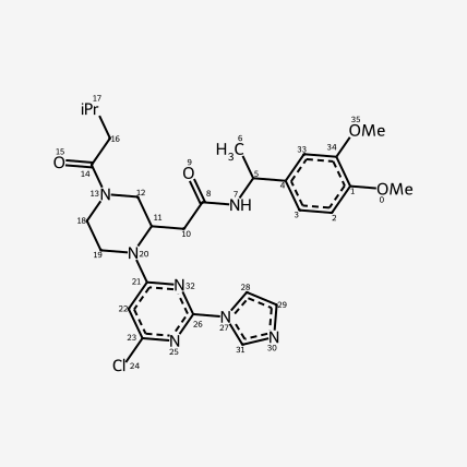 COc1ccc(C(C)NC(=O)CC2CN(C(=O)CC(C)C)CCN2c2cc(Cl)nc(-n3ccnc3)n2)cc1OC